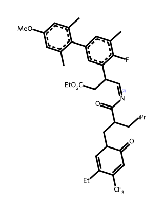 CCOC(=O)CC(/C=N\C(=O)C(CC(C)C)CC1C=C(CC)C(C(F)(F)F)=CC1=O)c1cc(-c2c(C)cc(OC)cc2C)cc(C)c1F